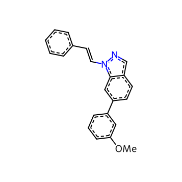 COc1cccc(-c2ccc3cnn(C=Cc4ccccc4)c3c2)c1